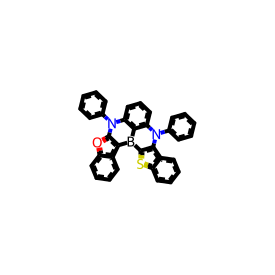 c1ccc(N2c3cccc4c3B(c3sc5ccccc5c3N4c3ccccc3)c3c2oc2ccccc32)cc1